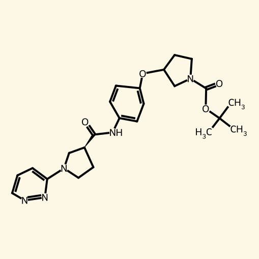 CC(C)(C)OC(=O)N1CCC(Oc2ccc(NC(=O)[C@H]3CCN(c4cccnn4)C3)cc2)C1